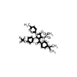 Cc1ccc(N2C(=O)C(NS(C)(=O)=O)=C(C(=O)c3ccc(C(C)C)cc3)[C@H]2c2ccc(OC(F)(F)F)cc2)nn1